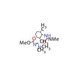 CNC(=O)NC1C(C)CCCC1C.COC(=O)N=CN(C)C